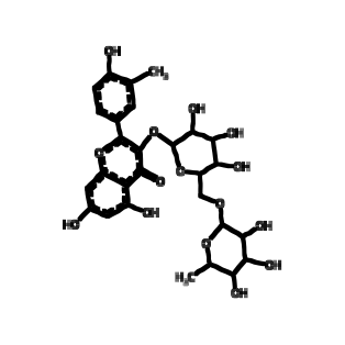 Cc1cc(-c2oc3cc(O)cc(O)c3c(=O)c2OC2OC(COC3OC(C)C(O)C(O)C3O)C(O)C(O)C2O)ccc1O